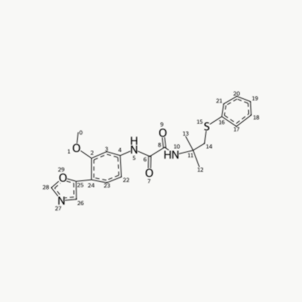 COc1cc(NC(=O)C(=O)NC(C)(C)CSc2ccccc2)ccc1-c1cnco1